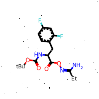 CC/C(N)=N/OC(=O)C(Cc1ccc(F)cc1F)NC(=O)OC(C)(C)C